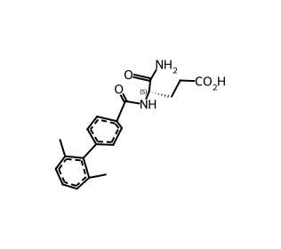 Cc1cccc(C)c1-c1ccc(C(=O)N[C@@H](CCC(=O)O)C(N)=O)cc1